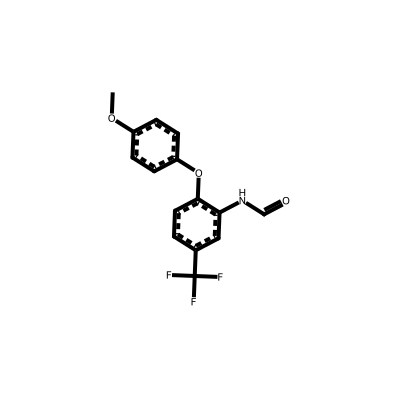 COc1ccc(Oc2ccc(C(F)(F)F)cc2N[C]=O)cc1